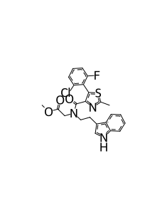 COC(=O)CN(CCc1c[nH]c2ccccc12)C(=O)c1nc(C)sc1-c1c(F)cccc1Cl